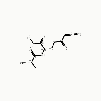 CS[C@@H](C)C(=O)N[C@@H](CCC(=O)C=[N+]=[N-])C(=O)SC(C)C